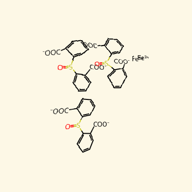 O=C([O-])c1ccccc1S(=O)c1ccccc1C(=O)[O-].O=C([O-])c1ccccc1S(=O)c1ccccc1C(=O)[O-].O=C([O-])c1ccccc1S(=O)c1ccccc1C(=O)[O-].[Fe+3].[Fe+3]